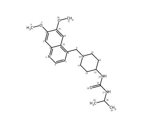 COc1cc2nccc(CN3CCC(NC(=O)NC(C)C)CC3)c2cc1OC